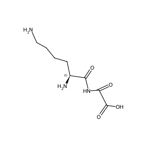 NCCCC[C@H](N)C(=O)NC(=O)C(=O)O